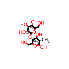 C[C@@H]1C(O)OC(CO)[C@@H](O[C@@H]2OC(CO)[C@H](O)C(O)[C@@H]2O)C1O